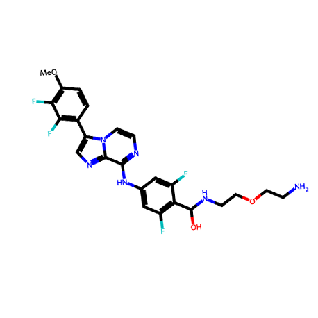 COc1ccc(-c2cnc3c(Nc4cc(F)c(C(O)NCCOCCN)c(F)c4)nccn23)c(F)c1F